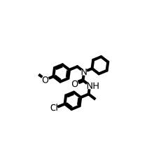 COc1ccc(CN(C(=O)NC(C)c2ccc(Cl)cc2)C2CCCCC2)cc1